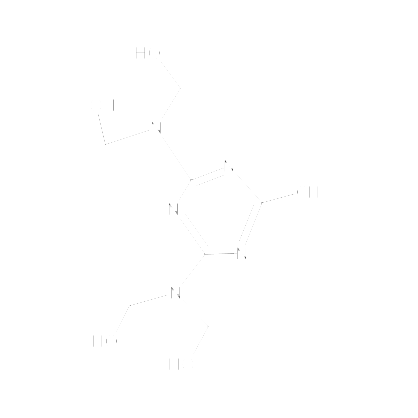 Cc1nc(N(CO)CO)nc(N(CO)CO)n1